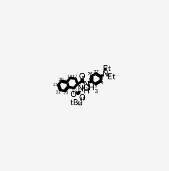 CCN(CC)c1ccc(NC(=O)C2(N(C)C(=O)OC(C)(C)C)CCc3ccccc3C2)cc1